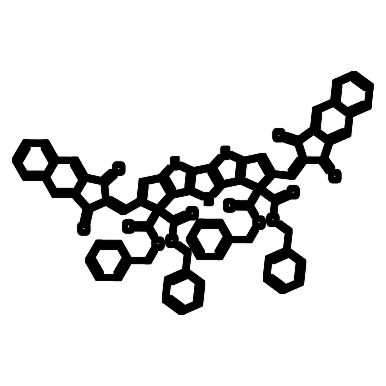 O=C1C(=CC2=Cc3sc4c(sc5c6c(sc54)C=C(C=C4C(=O)c5cc7ccccc7cc5C4=O)C6(C(=O)OCc4ccccc4)C(=O)OCc4ccccc4)c3C2(C(=O)OCc2ccccc2)C(=O)OCc2ccccc2)C(=O)c2cc3ccccc3cc21